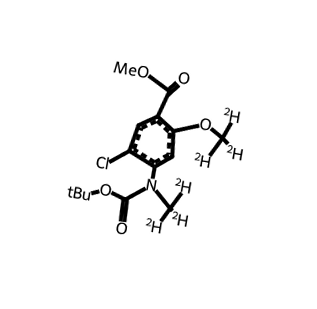 [2H]C([2H])([2H])Oc1cc(N(C(=O)OC(C)(C)C)C([2H])([2H])[2H])c(Cl)cc1C(=O)OC